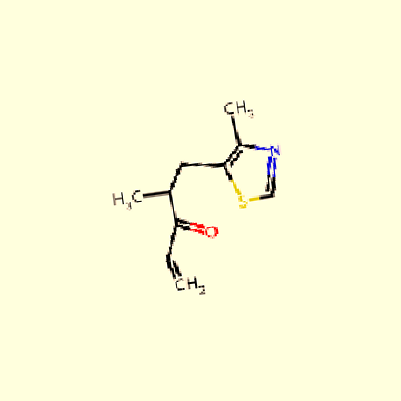 C=CC(=O)C(C)Cc1scnc1C